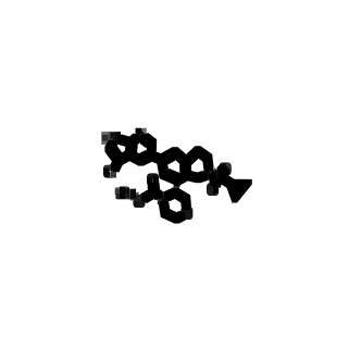 CC(C)(C)OC(=O)N1CCOC[C@H]1c1cc(-c2cnc3[nH]cc(Cl)c3c2)cc2c1CN(S(=O)(=O)C1CC1)CC2